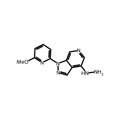 COc1cccc(-n2ncc3c(NN)cncc32)n1